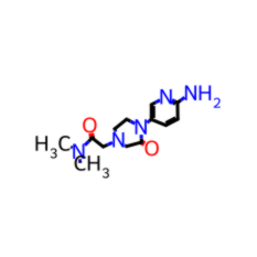 CN(C)C(=O)CN1CCN(c2ccc(N)nc2)C(=O)C1